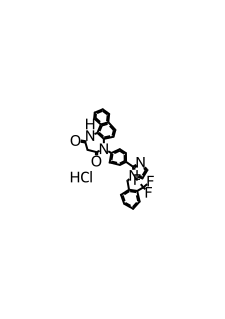 Cl.O=C1CC(=O)N(c2ccc(-c3nccn3Cc3ccccc3C(F)(F)F)cc2)c2ccc3ccccc3c2N1